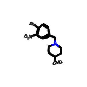 CCc1ccc(CN2CCC([C]=O)CC2)cc1[N+](=O)[O-]